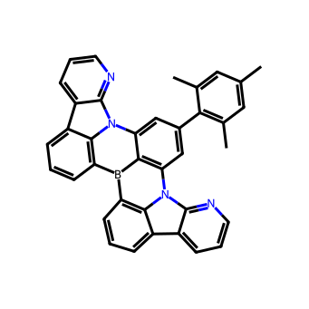 Cc1cc(C)c(-c2cc3c4c(c2)-n2c5ncccc5c5cccc(c52)B4c2cccc4c5cccnc5n-3c24)c(C)c1